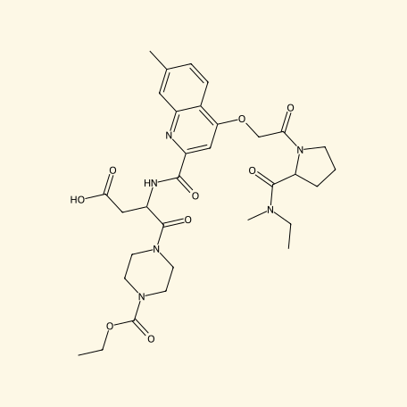 CCOC(=O)N1CCN(C(=O)C(CC(=O)O)NC(=O)c2cc(OCC(=O)N3CCCC3C(=O)N(C)CC)c3ccc(C)cc3n2)CC1